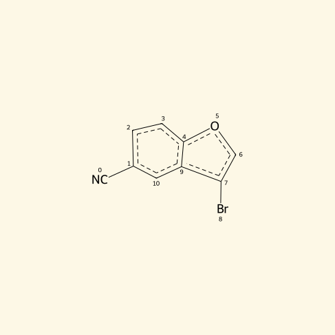 N#Cc1ccc2occ(Br)c2c1